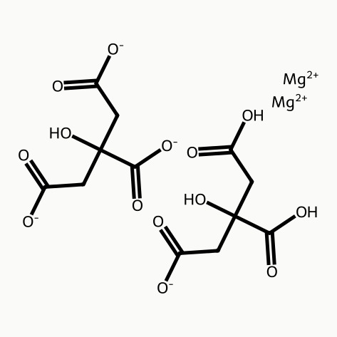 O=C([O-])CC(O)(CC(=O)O)C(=O)O.O=C([O-])CC(O)(CC(=O)[O-])C(=O)[O-].[Mg+2].[Mg+2]